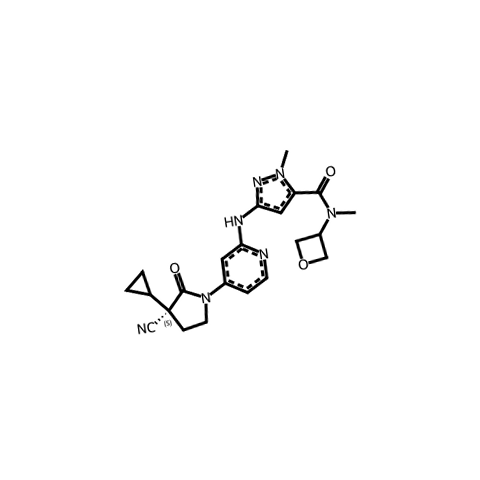 CN(C(=O)c1cc(Nc2cc(N3CC[C@@](C#N)(C4CC4)C3=O)ccn2)nn1C)C1COC1